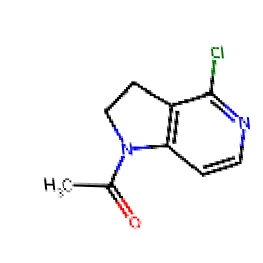 CC(=O)N1CCc2c1ccnc2Cl